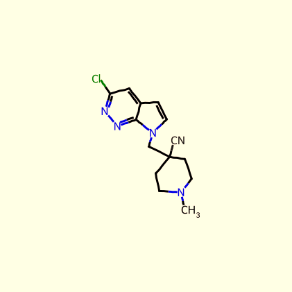 CN1CCC(C#N)(Cn2ccc3cc(Cl)nnc32)CC1